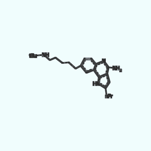 CCCc1cc2c(N)nc3ccc(CCCCCNC(C)(C)C)cc3c2[nH]1